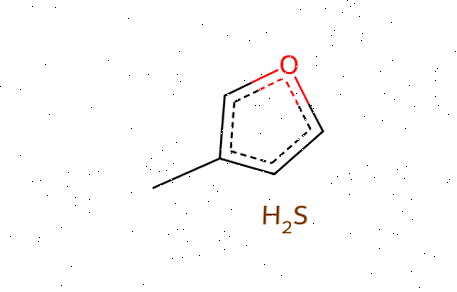 Cc1ccoc1.S